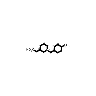 CC1CCC(CN2CCCC(CC(=O)O)C2)CC1